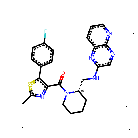 Cc1nc(C(=O)N2CCCC[C@H]2CNc2cnc3ncccc3n2)c(-c2ccc(F)cc2)s1